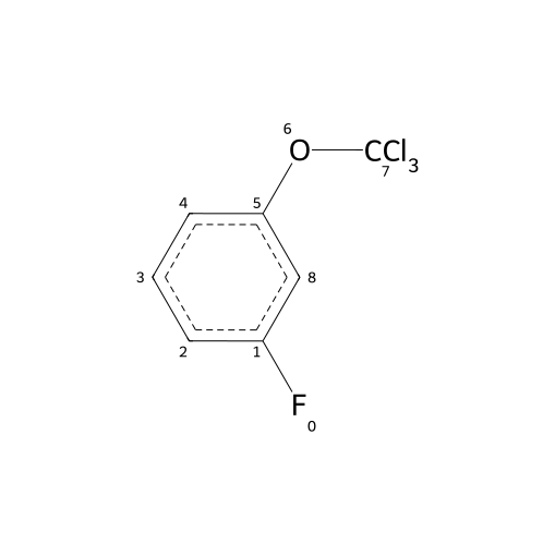 Fc1cccc(OC(Cl)(Cl)Cl)c1